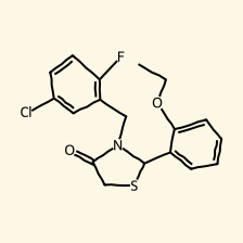 CCOc1ccccc1C1SCC(=O)N1Cc1cc(Cl)ccc1F